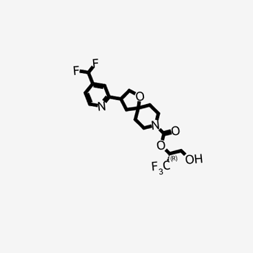 O=C(O[C@H](CO)C(F)(F)F)N1CCC2(CC1)CC(c1cc(C(F)F)ccn1)CO2